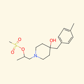 Cc1ccc(CC2(O)CCN(CC(C)OS(C)(=O)=O)CC2)cc1